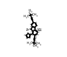 CC(C)(C)C#Cc1ccc2c(c1)[CH]([Zr+2])c1c-2ccc(C#CC(C)(C)C)c1C1=CC=CC1.[Cl-].[Cl-]